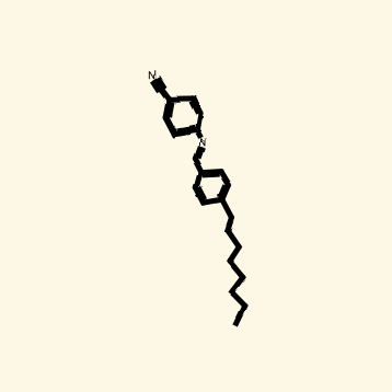 CCCCCCCCc1ccc(/C=N/c2ccc(C#N)cc2)cc1